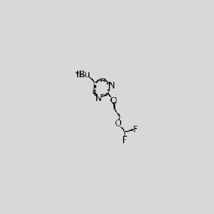 CC(C)(C)c1cnc(OCCOC(F)F)nc1